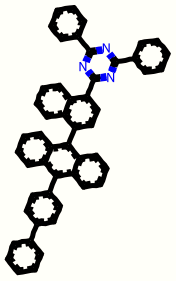 c1ccc(-c2ccc(-c3c4ccccc4c(-c4ccc(-c5nc(-c6ccccc6)nc(-c6ccccc6)n5)c5ccccc45)c4ccccc34)cc2)cc1